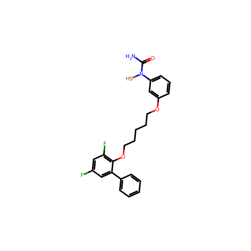 NC(=O)N(S)c1cccc(OCCCCCOc2c(F)cc(F)cc2-c2ccccc2)c1